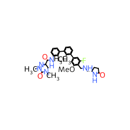 COc1cc(-c2cccc(-c3cccc(NC(=O)C4=NN(C)C(=O)N(C)C4)c3C)c2C)cc(F)c1CNC[C@@H]1CCC(=O)N1